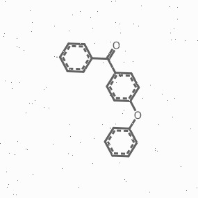 O=C(c1cc[c]cc1)c1ccc(Oc2[c]cccc2)cc1